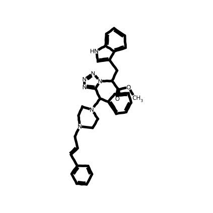 COC(=O)C(Cc1c[nH]c2ccccc12)n1nnnc1C(c1ccccc1)N1CCN(C/C=C/c2ccccc2)CC1